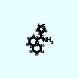 NC(c1ccsc1)C1CCCC2CCCCN21